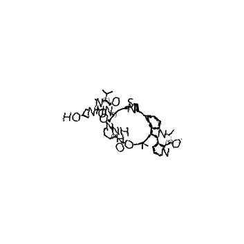 CCn1c(-c2cccnc2[C@H](C)OC)c2c3cc(ccc31)-c1csc(n1)C[C@H](NC(=O)[C@H](C(C)C)N(C)C(=O)N1CC(O)C1)C(=O)N1CCC[C@H](N1)C(=O)OCC(C)(C)C2